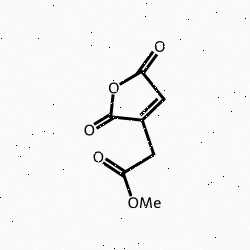 COC(=O)CC1=CC(=O)OC1=O